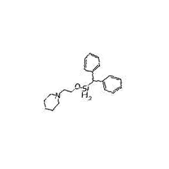 c1ccc(C([SiH2]OCCN2CCCCC2)c2ccccc2)cc1